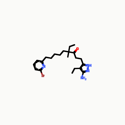 CCc1c(N)n[nH]c1CCC(=O)C(C)(CC)CCCCCc1cccc(Br)n1